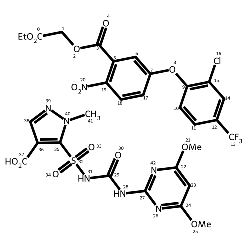 CCOC(=O)COC(=O)c1cc(Oc2ccc(C(F)(F)F)cc2Cl)ccc1[N+](=O)[O-].COc1cc(OC)nc(NC(=O)NS(=O)(=O)c2c(C(=O)O)cnn2C)n1